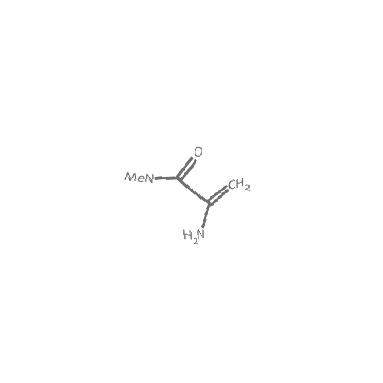 C=C(N)C(=O)NC